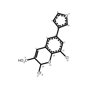 O=C(O)C1=Cc2cc(-c3ccoc3)cc(Cl)c2OC1C(F)(F)F